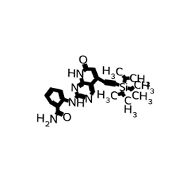 CC(C)[Si](C#Cc1cc(=O)[nH]c2nc(Nc3ccccc3C(N)=O)ncc12)(C(C)C)C(C)C